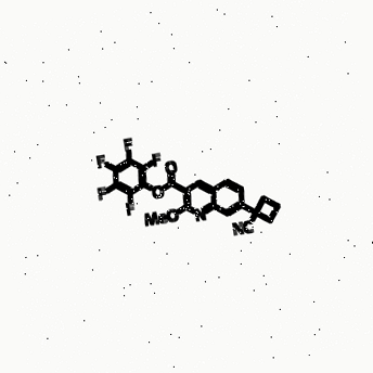 COc1nc2cc(C3(C#N)CCC3)ccc2cc1C(=O)Oc1c(F)c(F)c(F)c(F)c1F